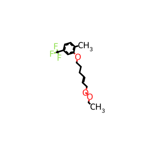 CCOOC/C=C/CCCOc1cc(C(F)(F)F)ccc1C